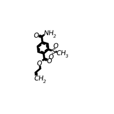 C=CCOC(=O)c1ccc(C(N)=O)cc1S(C)(=O)=O